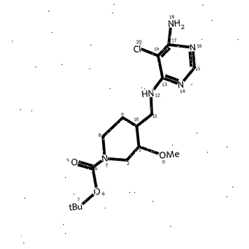 COC1CN(C(=O)OC(C)(C)C)CCC1CNc1ncnc(N)c1Cl